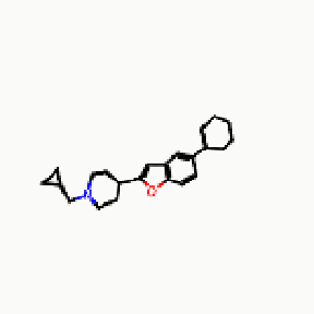 c1cc2oc(C3CCN(CC4CC4)CC3)cc2cc1C1CCCCC1